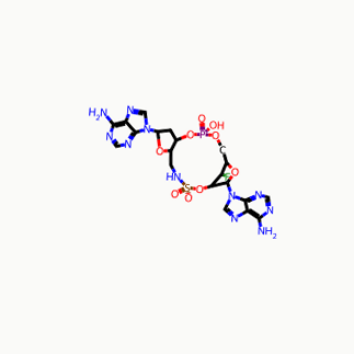 Nc1ncnc2c1ncn2C1CC2OP(=O)(O)OCC3OC(n4cnc5c(N)ncnc54)C(OS(=O)(=O)NCC2O1)C3F